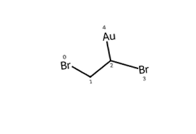 BrC[CH](Br)[Au]